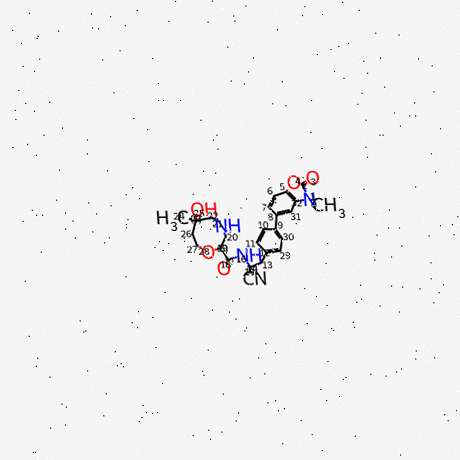 Cn1c(=O)oc2ccc(-c3ccc(C[C@@H](C#N)NC(=O)[C@@H]4CNC[C@@](C)(O)CCO4)cc3)cc21